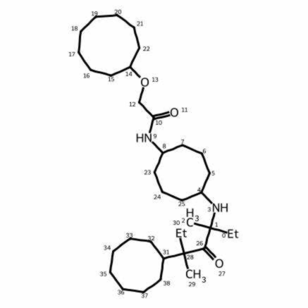 CCC(C)(NC1CCCC(NC(=O)COC2CCCCCCCC2)CCC1)C(=O)C(C)(CC)C1CCCCCCC1